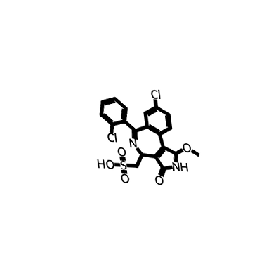 COC1NC(=O)C2=C1c1ccc(Cl)cc1C(c1ccccc1Cl)=NC2CS(=O)(=O)O